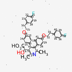 Cc1nc(C)c(C(O)C(=O)O)c(-c2ccc(OCCc3ccc(F)cc3)cc2)c1-c1ccc(OCCc2ccc(F)cc2)cc1